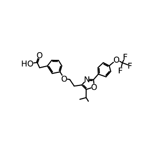 CC(C)c1oc(-c2ccc(OC(F)(F)F)cc2)nc1CCOc1cccc(CC(=O)O)c1